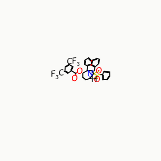 O=C(OC1CC[C@H]2[C@H](S(=O)(=O)c3ccccc3)CC1(c1ccccc1)N2Cc1ccccc1)c1cc(C(F)(F)F)cc(C(F)(F)F)c1